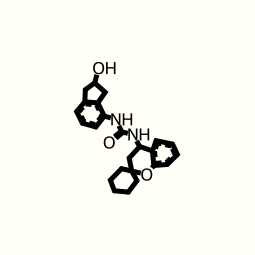 O=C(Nc1cccc2c1CC(O)C2)NC1CC2(CCCCC2)Oc2ccccc21